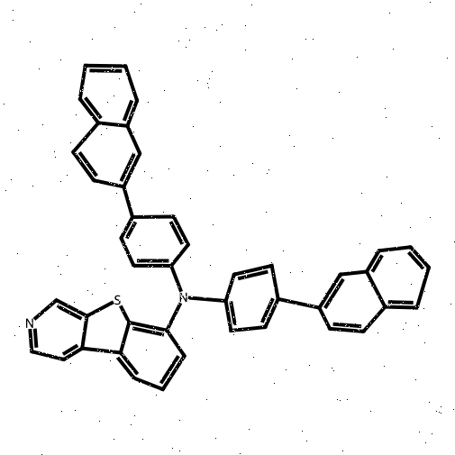 c1ccc2cc(-c3ccc(N(c4ccc(-c5ccc6ccccc6c5)cc4)c4cccc5c4sc4cnccc45)cc3)ccc2c1